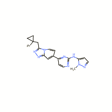 CC(C)C1(Cc2nnc3cc(-c4ccnc(Nc5ccnn5C)n4)ccn23)CC1